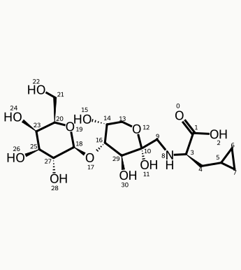 O=C(O)[C@@H](CC1CC1)NC[C@]1(O)OC[C@@H](O)[C@@H](O[C@@H]2O[C@H](CO)[C@H](O)[C@H](O)[C@H]2O)[C@@H]1O